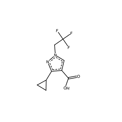 O=C(O)c1cn(CC(F)(F)F)nc1C1CC1